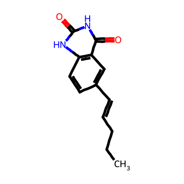 CCCC=Cc1ccc2[nH]c(=O)[nH]c(=O)c2c1